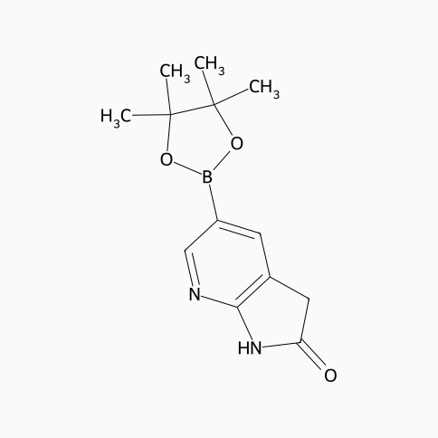 CC1(C)OB(c2cnc3c(c2)CC(=O)N3)OC1(C)C